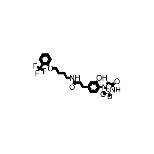 O=C(CCc1ccc(N2CC(=O)NS2(=O)=O)c(O)c1)NCCCCOc1ccccc1C(F)(F)F